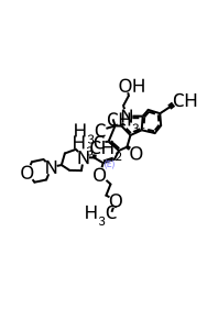 C#Cc1ccc2c3c(n(CCO)c2c1)C(C)(C)C(C)=C(/C=C(/OCCOC)C(=C)N1CCC(N2CCOCC2)CC1)C3=O